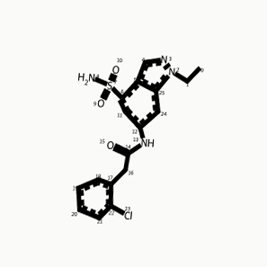 CCn1ncc2c(S(N)(=O)=O)cc(NC(=O)Cc3ccccc3Cl)cc21